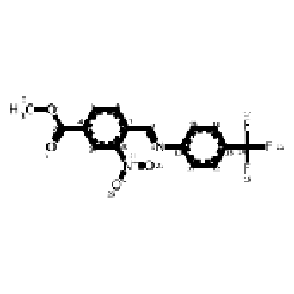 COC(=O)c1ccc(/C=N/c2ccc(C(F)(F)F)cc2)c([N+](=O)[O-])c1